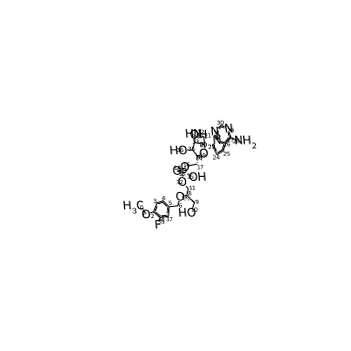 COc1ccc(CO[C@H](CO)COP(=O)(O)OC[C@H]2O[C@@](C=N)(c3ccc4c(N)ncnn34)C(O)C2O)cc1F